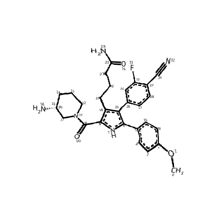 COc1ccc(-c2[nH]c(C(=O)N3CCC[C@@H](N)C3)c(CCCC(N)=O)c2-c2ccc(C#N)c(F)c2)cc1